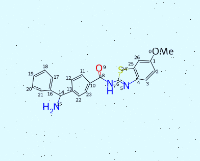 COc1ccc2nc(NC(=O)c3ccc(C(N)c4ccccc4)cc3)sc2c1